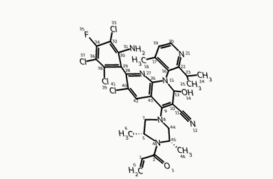 C=CC(=O)N1[C@H](C)CN(C2=C(C#N)C(O)N(c3c(C)ccnc3C(C)C)c3nc(-c4c(N)c(Cl)c(F)c(Cl)c4Cl)c(Cl)cc32)C[C@@H]1C